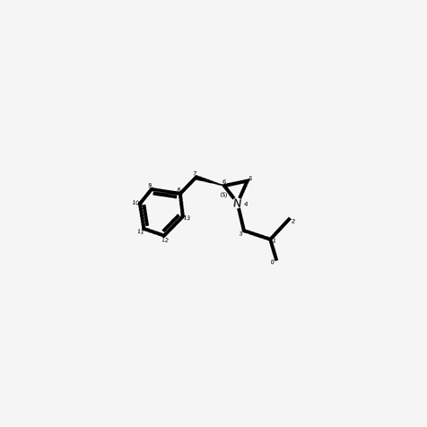 CC(C)CN1C[C@@H]1Cc1ccccc1